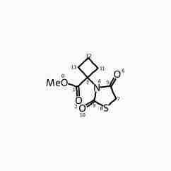 COC(=O)C1(N2C(=O)CSC2=O)CCC1